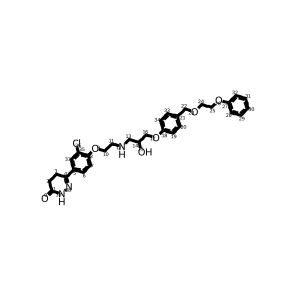 O=C1CCC(c2ccc(OCCNCC(O)COc3ccc(COCCOc4ccccc4)cc3)c(Cl)c2)=NN1